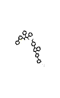 C=C(/C(=C(\C=C=C(C)c1ccc(-c2ccc(-c3ccc(-c4ccc(C#N)cc4)cc3)c3ccccc23)cc1)c1ccccc1)c1ccccc1)c1cccc2c1sc1ccccc12